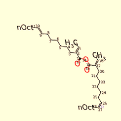 CC=C(CCCCCCC=CCCCCCCCC)C(=O)OC(=O)C(=CC)CCCCCC/C=C\CCCCCCCC